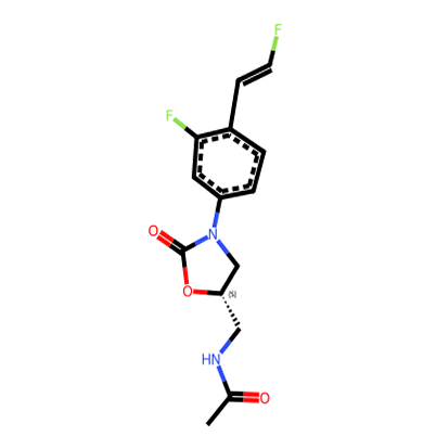 CC(=O)NC[C@H]1CN(c2ccc(C=CF)c(F)c2)C(=O)O1